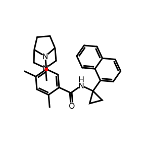 Cc1cc(C)c(N2C3CCC2CN(C)C3)cc1C(=O)NC1(c2cccc3ccccc23)CC1